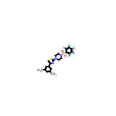 Cc1cc(C)cc(-c2csc(N3CCN(S(=O)(=O)c4c(F)c(F)c(F)c(F)c4F)CC3)n2)c1